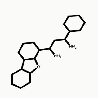 NC(CC(N)C1CCCC2C3CCCCC3OC12)C1CCCCC1